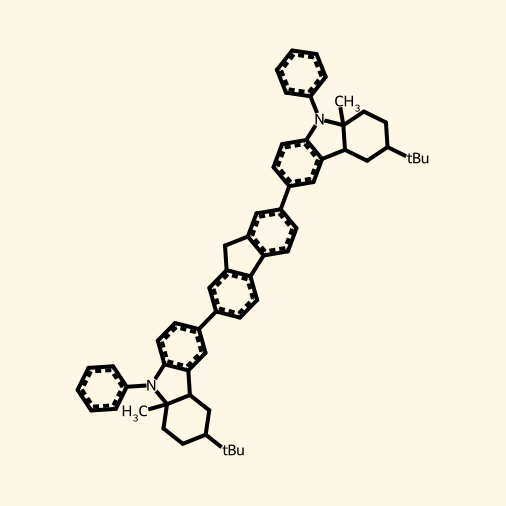 CC(C)(C)C1CCC2(C)C(C1)c1cc(-c3ccc4c(c3)Cc3cc(-c5ccc6c(c5)C5CC(C(C)(C)C)CCC5(C)N6c5ccccc5)ccc3-4)ccc1N2c1ccccc1